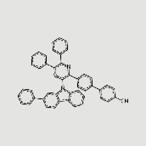 N#Cc1ccc(-c2ccc(-c3nc(-c4ccccc4)c(-c4ccccc4)nc3-n3c4ccccc4c4ccc(-c5ccccc5)cc43)cc2)cc1